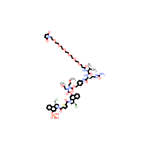 COCCN(C(=O)OCc1ccc(NC(=O)[C@H](CCCNC(N)=O)NC(=O)[C@@H](NC(=O)CCOCCOCCOCCOCCOCCOCCN2C(=O)C=CC2=O)C(C)C)cc1)N(CCOC)C(=O)Oc1cc2c(c3ccccc13)[C@H](CCl)CN2C(=O)c1ccc(C(=O)N2C[C@@H](CCl)c3c2cc(OP(=O)(O)O)c2ccccc32)s1